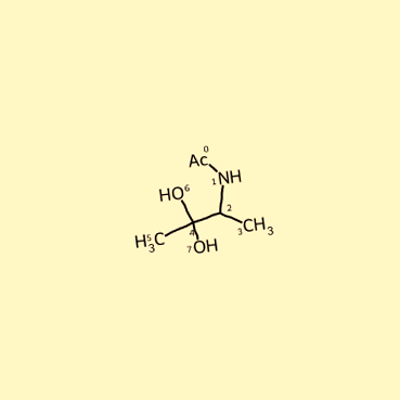 CC(=O)NC(C)C(C)(O)O